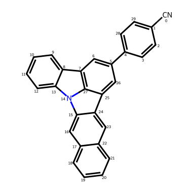 N#Cc1ccc(-c2cc3c4ccccc4n4c5cc6ccccc6cc5c(c2)c34)cc1